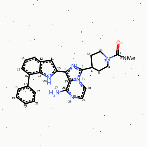 CNC(=O)N1CCC(c2nc(-c3cc4cccc(-c5ccccc5)c4[nH]3)c3c(N)nccn23)CC1